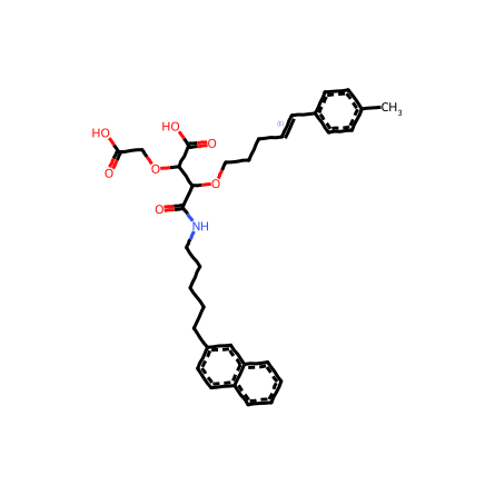 Cc1ccc(/C=C/CCCOC(C(=O)NCCCCCc2ccc3ccccc3c2)C(OCC(=O)O)C(=O)O)cc1